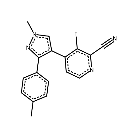 Cc1ccc(-c2nn(C)cc2-c2ccnc(C#N)c2F)cc1